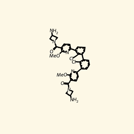 COc1nc(-c2cccc(-c3cccc(-c4ccc(C(=O)N5CC(N)C5)c(OC)n4)c3Cl)c2Cl)ccc1C(=O)N1CC(N)C1